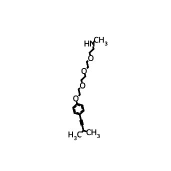 CNCCOCCOCCOCCOc1ccc(C#CC(C)C)cc1